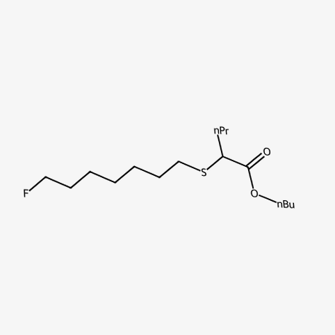 CCCCOC(=O)C(CCC)SCCCCCCCF